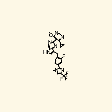 COc1ncnc(C2CC2)c1-c1ncc2[nH]cc(Cc3ccc(-c4nc(C(F)(F)F)cn4C)cc3F)c2n1